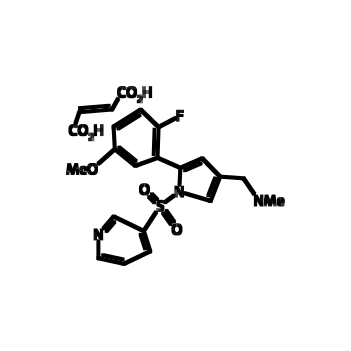 CNCc1cc(-c2cc(OC)ccc2F)n(S(=O)(=O)c2cccnc2)c1.O=C(O)C=CC(=O)O